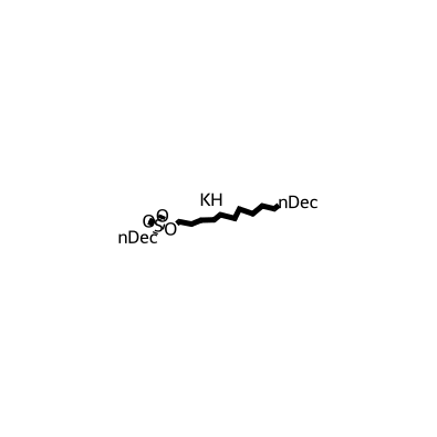 CCCCCCCCCCCCCCCCCCCCOS(=O)(=O)CCCCCCCCCC.[KH]